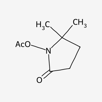 CC(=O)ON1C(=O)CCC1(C)C